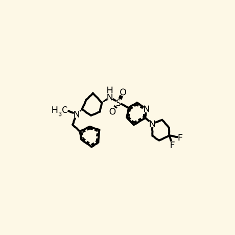 CN(Cc1ccccc1)[C@H]1CC[C@H](NS(=O)(=O)c2ccc(N3CCC(F)(F)CC3)nc2)CC1